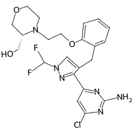 Nc1nc(Cl)cc(-c2nn(C(F)F)cc2Cc2ccccc2OCCN2CCOC[C@H]2CO)n1